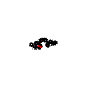 c1ccc(-c2nnc(-c3ccccc3)n2-c2cccc3c2c2ccccc2n3-c2ccc3oc4ccc(-n5c6ccccc6c6c7oc8ccccc8c7ccc65)cc4c3c2)cc1